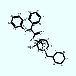 O=C(O[C@H]1C[N+]2(CC3CCCCC3)CCC1CC2)C(Nc1ccccc1)c1ccccc1